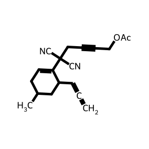 C=C=CC1CC(C)CC=C1C(C#N)(C#N)CC#CCOC(C)=O